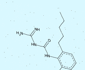 CCCCCc1cccc(C)c1NC(=O)NC(=N)N